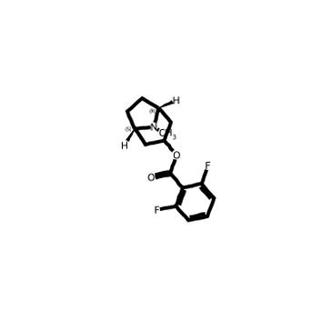 CN1[C@@H]2CC[C@H]1CC(OC(=O)c1c(F)cccc1F)C2